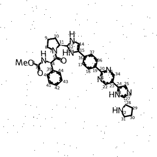 COC(=O)N[C@@H](C(=O)N1CCC[C@H]1C1NC=C(c2ccc(-c3ncc(-c4cnc([C@@H]5CCCN5)[nH]4)cn3)cc2)N1)c1ccccc1